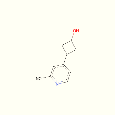 N#Cc1cc(C2CC(O)C2)ccn1